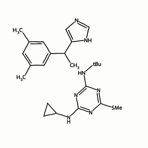 CSc1nc(NC2CC2)nc(NC(C)(C)C)n1.Cc1cc(C)cc(C(C)c2cnc[nH]2)c1